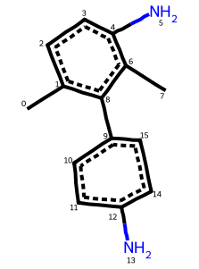 Cc1ccc(N)c(C)c1-c1ccc(N)cc1